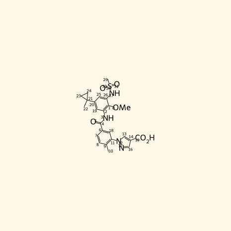 COc1c(NC(=O)c2ccc(C)c(-n3cc(C(=O)O)cn3)c2)cc(C2(C)CC2)cc1NS(C)(=O)=O